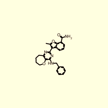 Cc1oc2c(C(N)=O)cccc2c1-c1nc2c(c(NCc3ccccc3)n1)OCCCC2